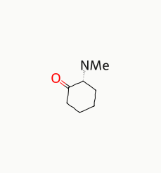 CN[C@@H]1CCCCC1=O